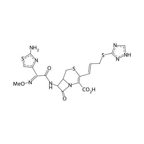 CON=C(C(=O)NC1C(=O)N2C(C(=O)O)=C(C=CCSc3nc[nH]n3)SCC12)c1csc(N)n1